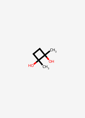 CC1(O)CCC1(C)O